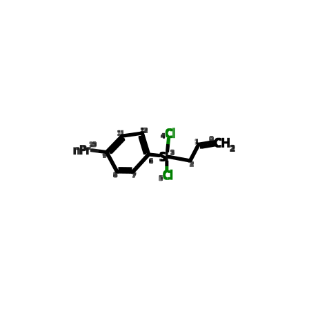 C=CC[Si](Cl)(Cl)c1ccc(CCC)cc1